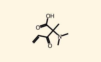 C=CC(=O)C(C)(C(=O)O)N(C)C